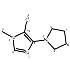 Cn1cnc(N2CCCC2)c1Cl